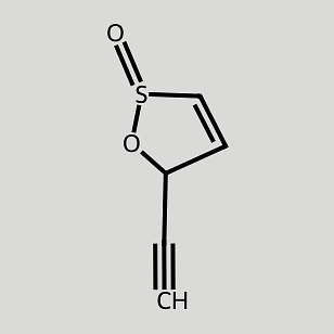 C#CC1C=CS(=O)O1